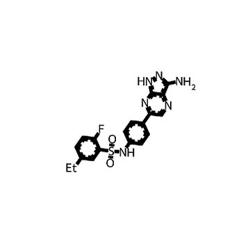 CCc1ccc(F)c(S(=O)(=O)Nc2ccc(-c3cnc4c(N)n[nH]c4n3)cc2)c1